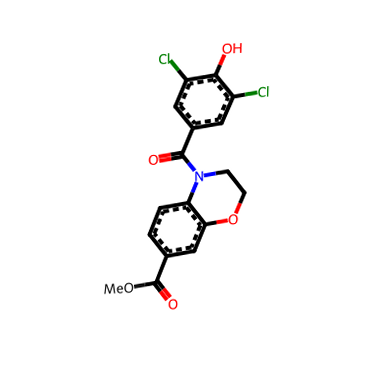 COC(=O)c1ccc2c(c1)OCCN2C(=O)c1cc(Cl)c(O)c(Cl)c1